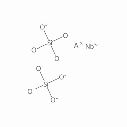 [Al+3].[Nb+5].[O-][Si]([O-])([O-])[O-].[O-][Si]([O-])([O-])[O-]